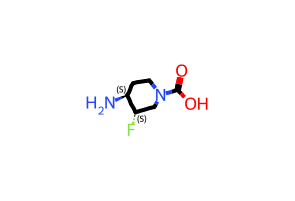 N[C@H]1CCN(C(=O)O)C[C@@H]1F